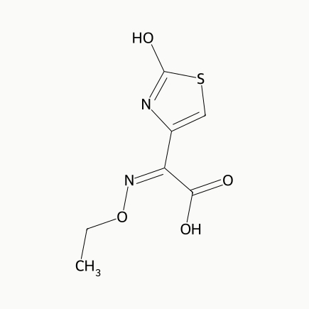 CCO/N=C(\C(=O)O)c1csc(O)n1